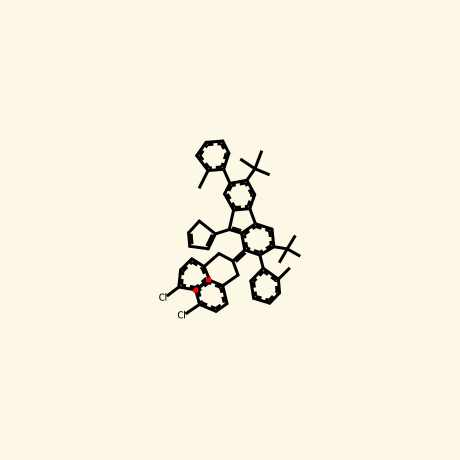 Cc1ccccc1-c1cc2c(cc1C(C)(C)C)-c1cc(C(C)(C)C)c(-c3ccccc3C)c(=C(Cc3ccc(Cl)cc3)Cc3ccc(Cl)cc3)c1=C2C1=CC=CC1